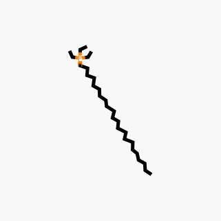 CCCCCCCCCCCCCCCCCCCCCC[PH](CC)(CC)CC